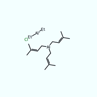 CC(C)=C[CH2][Al]([CH2]C=C(C)C)[CH2]C=C(C)C.C[CH2][Al+][CH2]C.[Cl-]